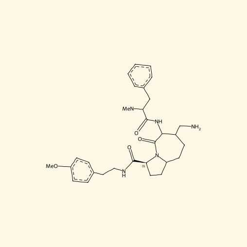 CNC(Cc1ccccc1)C(=O)NC1C(=O)N2C(CCC1CN)CC[C@H]2C(=O)NCCc1ccc(OC)cc1